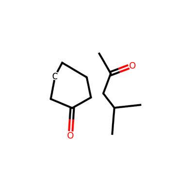 CC(=O)CC(C)C.O=C1CCCCC1